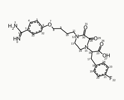 N=C(N)c1ccc(OCCCCN2CCN(C(Cc3ccc(F)cc3)C(=O)O)C(=O)C2=O)cc1